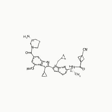 COc1cc(C(=O)N2CCC[C@@H](N)C2)cc2nc(-c3cc4ccc([C@@H](C)NC(=O)C56CC(C#N)(C5)C6)nc4n3CC3CC3)c(C3CC3)n12